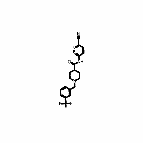 N#Cc1ccc(NC(=O)C2CCN(Cc3cccc(C(F)(F)F)c3)CC2)nn1